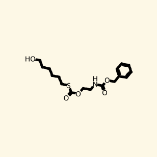 O=C(NCCOC(=O)SCCCCCCO)OCc1ccccc1